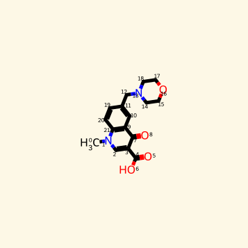 Cn1cc(C(=O)O)c(=O)c2cc(CN3CCOCC3)ccc21